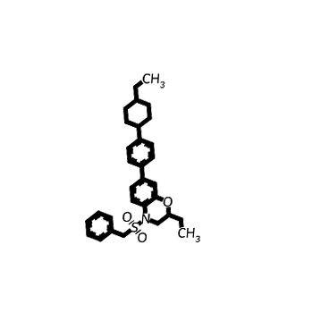 CCC1CCC(c2ccc(-c3ccc4c(c3)OC(CC)CN4S(=O)(=O)Cc3ccccc3)cc2)CC1